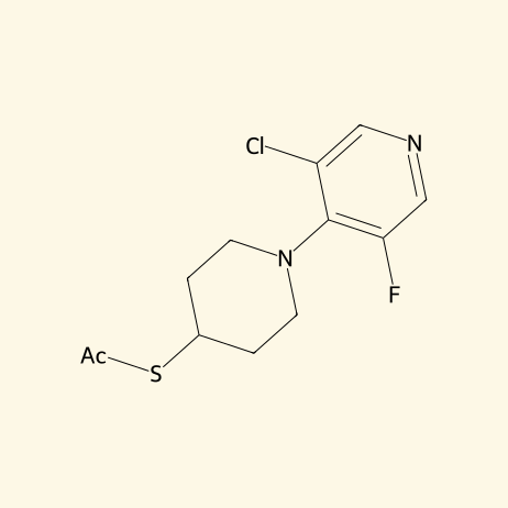 CC(=O)SC1CCN(c2c(F)cncc2Cl)CC1